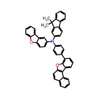 CC1(C)c2ccccc2-c2ccc(N(c3ccc(-c4cccc5c4oc4ccc6ccccc6c45)cc3)c3ccc4oc5ccccc5c4c3)cc21